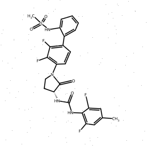 Cc1cc(F)c(NC(=O)N[C@@H]2CCN(c3ccc(-c4ccccc4NS(C)(=O)=O)c(F)c3F)C2=O)c(F)c1